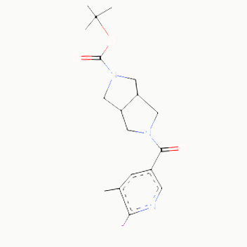 Cc1cc(C(=O)N2CC3CN(C(=O)OC(C)(C)C)CC3C2)cnc1I